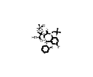 CC(C)(C)CN1C(=O)[C@H](C(C)(NS(C)(=O)=O)C(=O)O)O[C@@H](c2ccccc2Cl)c2cc(Cl)ccc21